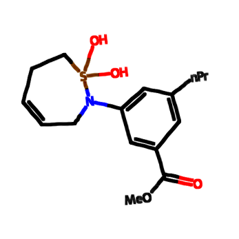 CCCc1cc(C(=O)OC)cc(N2CC=CCCS2(O)O)c1